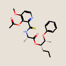 CCC[C@H](OC(=O)[C@H](C)NC(=S)c1nccc(OC)c1OC(C)=O)[C@@H](C)Oc1ccccc1